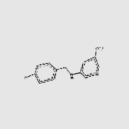 O=C(O)c1cncc(NCc2ccc(F)cc2)c1